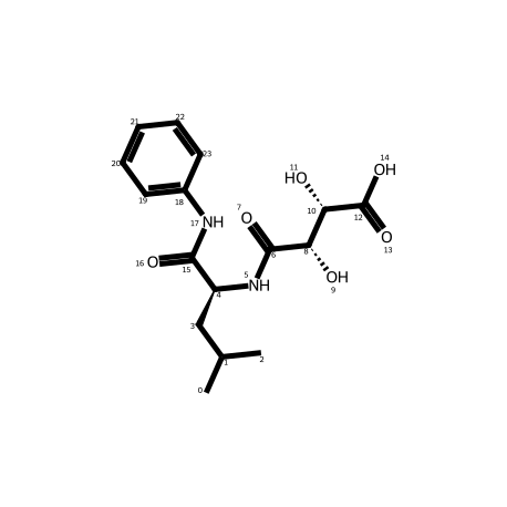 CC(C)C[C@H](NC(=O)[C@@H](O)[C@H](O)C(=O)O)C(=O)Nc1ccccc1